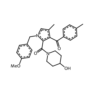 COc1ccc(Cn2cc(C)c(C(=O)c3ccc(C)cc3)c2C(=O)N2CCC(O)CC2)cc1